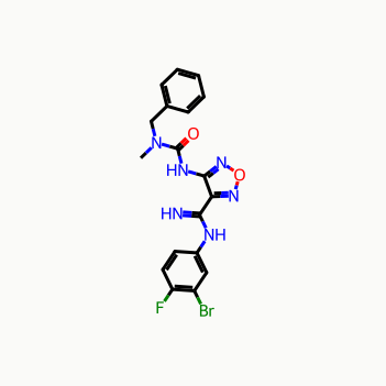 CN(Cc1ccccc1)C(=O)Nc1nonc1C(=N)Nc1ccc(F)c(Br)c1